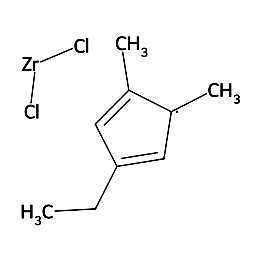 CCC1=C[C](C)C(C)=C1.[Cl][Zr][Cl]